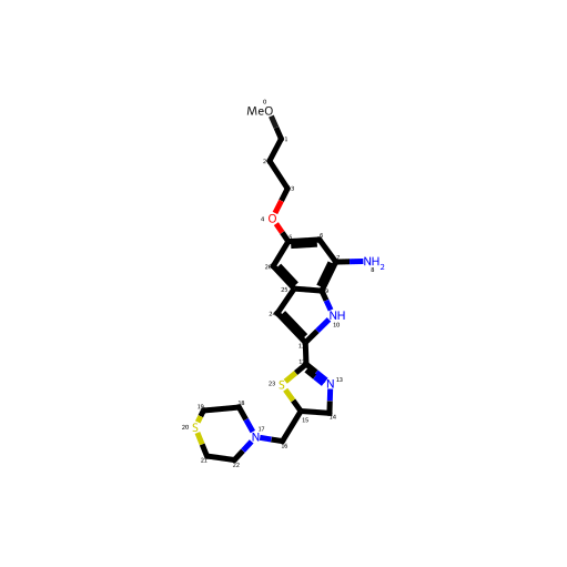 COCCCOc1cc(N)c2[nH]c(C3=NCC(CN4CCSCC4)S3)cc2c1